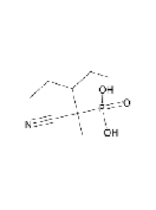 CCC(CC)C(C)(C#N)P(=O)(O)O